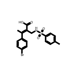 CC(=C(CNS(=O)(=O)c1ccc(C)cc1)C(=O)O)c1ccc(Br)cc1